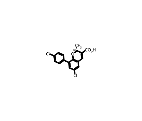 O=C(O)C1=Cc2cc(Cl)cc(-c3ccc(Cl)cc3)c2O[C@@H]1C(F)(F)F